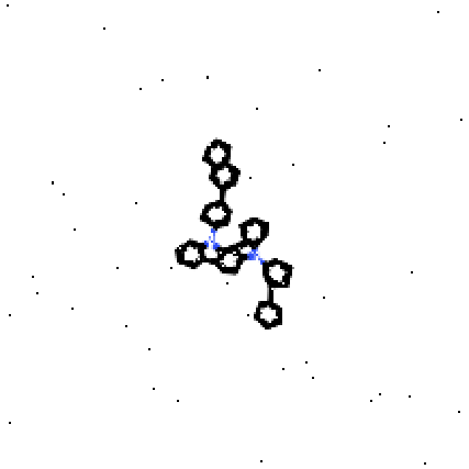 c1ccc(-c2cccc(-n3c4ccccc4c4c3ccc3c5ccccc5n(-c5ccc(-c6ccc7ccccc7c6)cc5)c34)c2)cc1